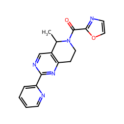 CC1c2cnc(-c3ccccn3)nc2CCN1C(=O)c1ncco1